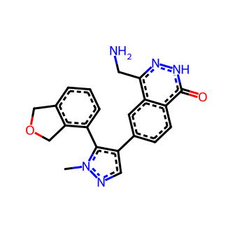 Cn1ncc(-c2ccc3c(=O)[nH]nc(CN)c3c2)c1-c1cccc2c1COC2